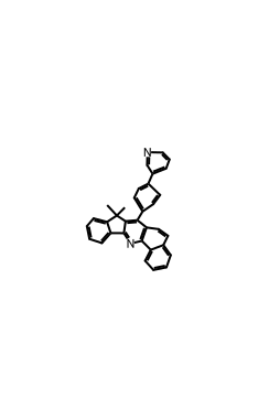 CC1(C)c2ccccc2-c2nc3c(ccc4ccccc43)c(-c3ccc(-c4cccnc4)cc3)c21